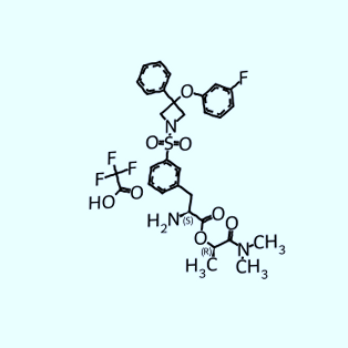 C[C@@H](OC(=O)[C@@H](N)Cc1cccc(S(=O)(=O)N2CC(Oc3cccc(F)c3)(c3ccccc3)C2)c1)C(=O)N(C)C.O=C(O)C(F)(F)F